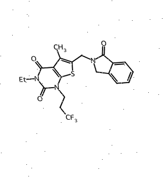 CCn1c(=O)c2c(C)c(CN3Cc4ccccc4C3=O)sc2n(CCC(F)(F)F)c1=O